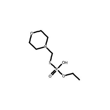 CCOP(=O)(O)SCN1CCOCC1